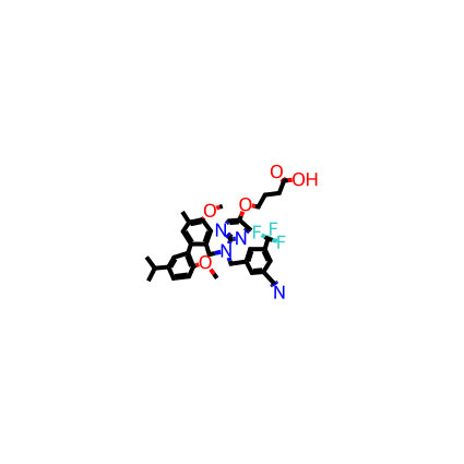 COc1cc(CN(Cc2cc(C#N)cc(C(F)(F)F)c2)c2ncc(OCCCC(=O)O)cn2)c(-c2cc(C(C)C)ccc2OC)cc1C